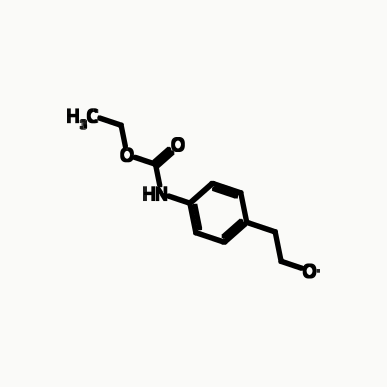 CCOC(=O)Nc1ccc(CC[O])cc1